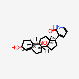 C[C@]12CC[C@H](O)C=C1CC[C@@H]1[C@@H]2CC[C@]2(C)[C@@H](c3ccc[nH]c3=O)CC[C@]12O